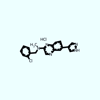 CN(Cc1ccccc1Cl)c1cnc2cc(-c3cn[nH]c3)ccc2n1.Cl